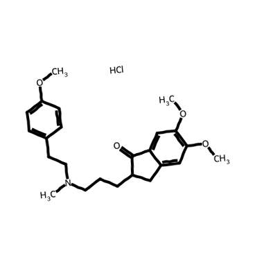 COc1ccc(CCN(C)CCCC2Cc3cc(OC)c(OC)cc3C2=O)cc1.Cl